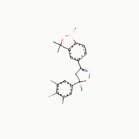 CB1OC(C)(C)c2cc(C3=NO[C@](C)(c4cc(Cl)c(Cl)c(Cl)c4)C3)ccc21